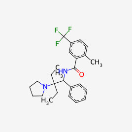 CCC(CC)(C(NC(=O)c1cc(C(F)(F)F)ccc1C)c1ccccc1)N1CCCC1